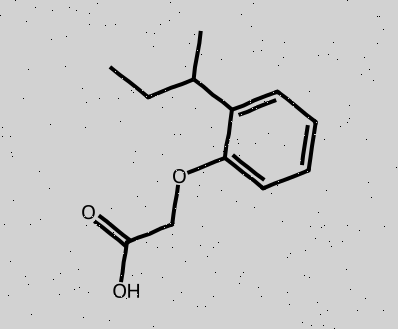 CCC(C)c1ccccc1OCC(=O)O